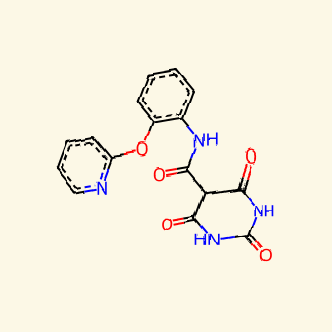 O=C1NC(=O)C(C(=O)Nc2ccccc2Oc2ccccn2)C(=O)N1